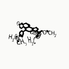 C=COCC(=O)[C@@]1(OC(C)=O)CCC2C3CCC4=CC(=O)CCC4=C3C(c3ccc(N(C)C)cc3)C[C@@]21C